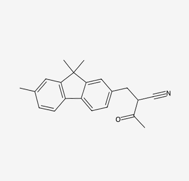 CC(=O)C(C#N)Cc1ccc2c(c1)C(C)(C)c1cc(C)ccc1-2